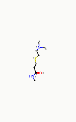 CNC(=O)CCSCCN(C)C